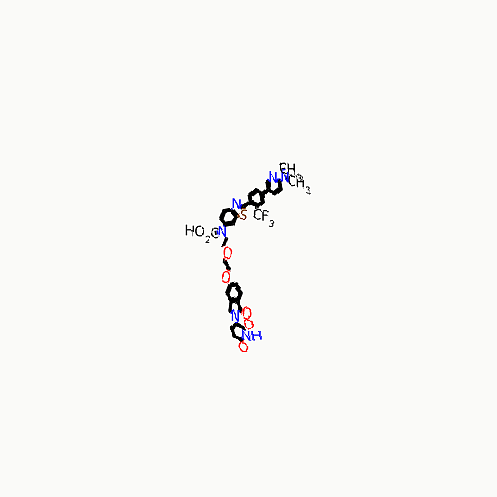 CN(C)c1ccc(-c2ccc(-c3nc4ccc(N(CCOCCOc5ccc6c(c5)CN(C5CCC(=O)NC5=O)C6=O)C(=O)O)cc4s3)c(C(F)(F)F)c2)cn1